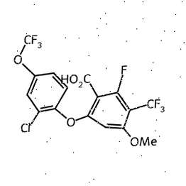 COc1cc(Oc2ccc(OC(F)(F)F)cc2Cl)c(C(=O)O)c(F)c1C(F)(F)F